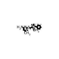 Cc1cc(N)nc(SCc2nnc(-c3ccccc3)n2C)n1